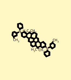 Cc1cccc(N(c2ccccc2)c2ccc3c(c2)C(C)(C)c2ccc4cc5c6c(ccc7cc-3c2c4c76)C(C)(C)c2cc(N(c3ccccc3)c3cccc(C)c3)ccc2-5)c1